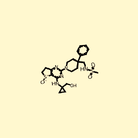 CS(=O)(=O)NCC1(c2ccccc2)CCN(c2nc3c(c(NC4(CO)CC4)n2)[S+]([O-])CC3)CC1